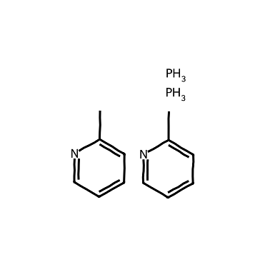 Cc1ccccn1.Cc1ccccn1.P.P